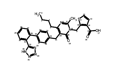 CCCCc1nc(C)n(Cc2sccc2C(=O)O)c(=O)c1Cc1ccc(-c2ccccc2-c2nnn[nH]2)cc1